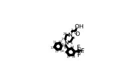 O=C(O)CN1CCN([C@@H](c2ccccc2)c2cccc(C(F)(F)F)c2)CC1